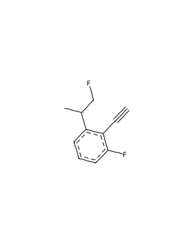 C#Cc1c(F)cccc1[C](C)CF